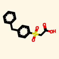 O=C(O)CS(=O)(=O)c1ccc(Cc2ccccc2)cc1